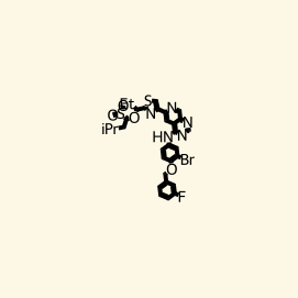 CCC(OC(CC(C)C)=S(=O)=O)c1nc(-c2cc3c(Nc4ccc(OCc5cccc(F)c5)c(Br)c4)ncnc3cn2)cs1